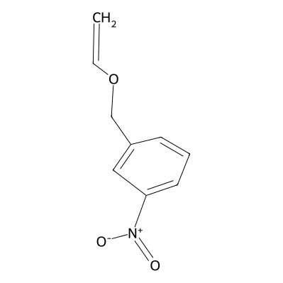 C=COCc1cccc([N+](=O)[O-])c1